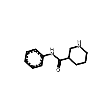 O=C(Nc1ccccc1)C1CCCNC1